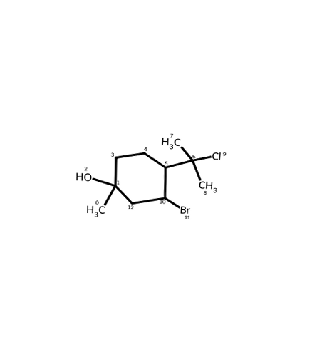 CC1(O)CCC(C(C)(C)Cl)C(Br)C1